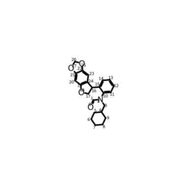 O=CN(CC1CCCCC1)c1ccccc1C1COc2cc3c(cc21)OCO3